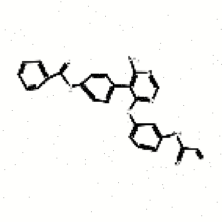 C=CC(=O)Nc1cccc(Oc2ncnc(N)c2-c2ccc(NC(=O)c3ccccc3)cc2)c1